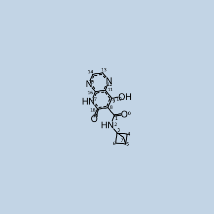 O=C(NC12CC(C1)C2)c1c(O)c2nccnc2[nH]c1=O